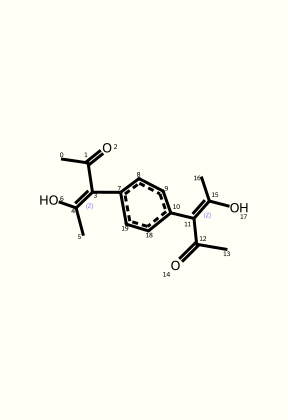 CC(=O)/C(=C(/C)O)c1ccc(/C(C(C)=O)=C(\C)O)cc1